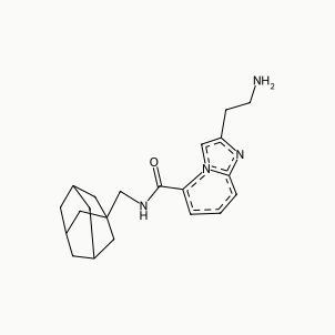 NCCc1cn2c(C(=O)NCC34CC5CC(CC(C5)C3)C4)cccc2n1